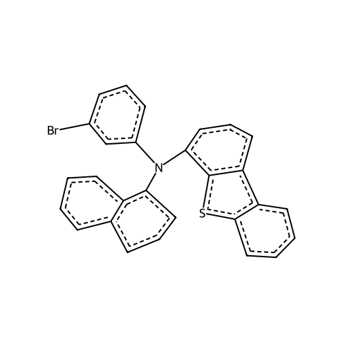 Brc1cccc(N(c2cccc3ccccc23)c2cccc3c2sc2ccccc23)c1